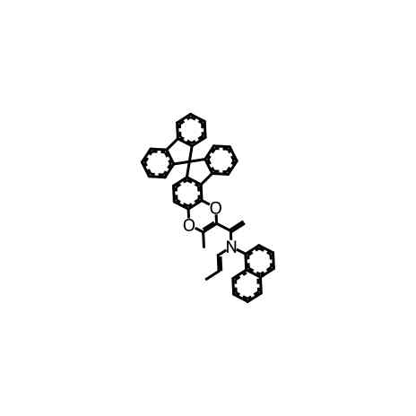 C=C(C1=C(C)Oc2ccc3c(c2O1)-c1ccccc1C31c2ccccc2-c2ccccc21)N(/C=C/C)c1cccc2ccccc12